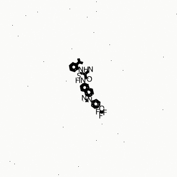 CC(C)c1ccccc1NC(=S)C(C#N)C(=O)Nc1ccc2c(ccc3c2ncn3-c2ccc(OC(F)(F)F)cc2)c1